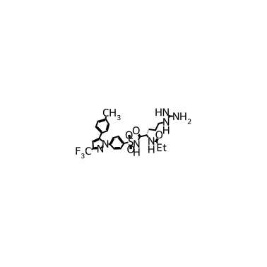 CCC(=O)N[C@@H](CCCNC(=N)N)C(=O)NS(=O)(=O)c1ccc(-n2nc(C(F)(F)F)cc2-c2ccc(C)cc2)cc1